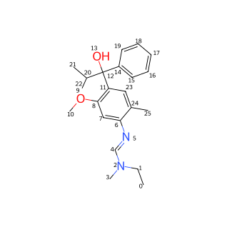 CCN(C)/C=N/c1cc(OC)c(C(O)(c2ccccc2)C(C)C)cc1C